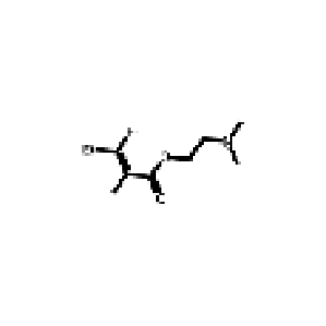 CCC(CC)=C(C)C(=O)OCCN(C)C